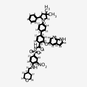 CC1(C)CC(c2ccccc2)N(c2ccc(-c3ccc(C(=O)NS(=O)(=O)c4ccc(NCC5CCOCC5)c([N+](=O)[O-])c4)c(Oc4cnc5[nH]ccc5c4)c3)cc2)C1